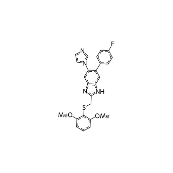 COc1cccc(OC)c1SCc1nc2cc(-n3ccnc3)c(-c3ccc(F)cc3)cc2[nH]1